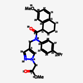 COC(=O)Cn1cc(CN(C(=O)C2CCCc3ccc(OC)cc32)c2ccc(C(C)C)cc2)cn1